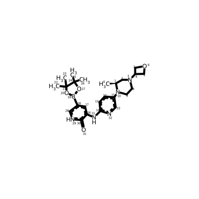 C[C@H]1CN(C2COC2)CCN1c1ccc(Nc2cc(B3OC(C)(C)C(C)(C)O3)c[nH]c2=O)nc1